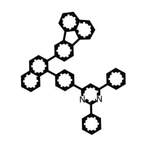 c1ccc(-c2cc(-c3ccc(-c4c(-c5ccc6c(c5)-c5cccc7cccc-6c57)ccc5ccccc45)cc3)nc(-c3ccccc3)n2)cc1